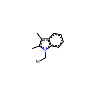 Cc1c(C)n(CC#N)c2ccccc12